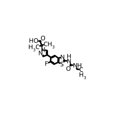 CCNC(=O)Nc1nc2cc(-c3cnn(C(C)(C)C(=O)O)c3)c(F)cc2s1